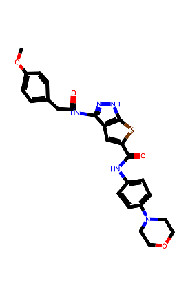 COc1ccc(CC(=O)Nc2n[nH]c3sc(C(=O)Nc4ccc(N5CCOCC5)cc4)cc23)cc1